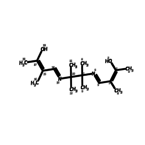 C/C(O)=C(C)/C=N/C(C)(C)C(C)(C)/N=C/C(C)=C(/C)O